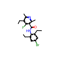 CCc1cc(Br)cc(CC)c1NC(=O)c1c(C)nc(C)c(CC)c1F